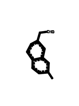 Cc1ccc2ccc(CC=O)cc2c1